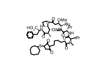 CC[C@H](C)[C@@H]([C@@H](CC(=O)N1CCC[C@H]1[C@H](OC)[C@@H](C)C(=O)N[C@@H](Cc1ccccc1)C(=O)O)OC)N(C)C(=O)[C@@H](NC(=O)C(C(C)C)N(C)C(=O)CCCCCC1C(=O)CC(SC2CCCCCCC2)C1=O)C(C)C